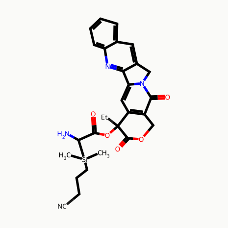 CCC1(OC(=O)C(N)[Si](C)(C)CCCC#N)C(=O)OCc2c1cc1n(c2=O)Cc2cc3ccccc3nc2-1